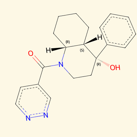 O=C(c1ccnnc1)N1CC[C@](O)(c2ccccc2)[C@H]2CCCC[C@H]21